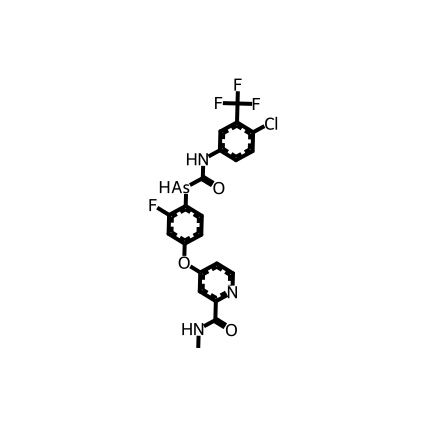 CNC(=O)c1cc(Oc2ccc([AsH]C(=O)Nc3ccc(Cl)c(C(F)(F)F)c3)c(F)c2)ccn1